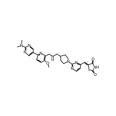 COc1ccc(-c2cnc(N(C)C)nc2)nc1CNCC1CCN(c2nccc(/C=C3\SC(=O)NC3=O)n2)CC1